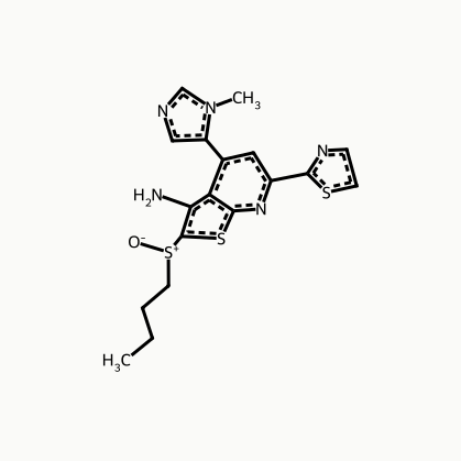 CCCC[S+]([O-])c1sc2nc(-c3nccs3)cc(-c3cncn3C)c2c1N